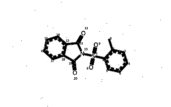 Cc1ccccc1S(=O)(=O)N1C(=O)c2ccccc2C1=O